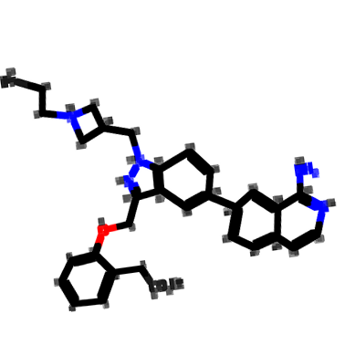 CCOC(=O)Cc1ccccc1OCc1nn(CC2CN(CCC(C)C)C2)c2ccc(-c3ccc4ccnc(N)c4c3)cc12